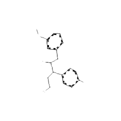 COc1cccc(CC(N)C(CCN)c2ccc(F)cc2)c1